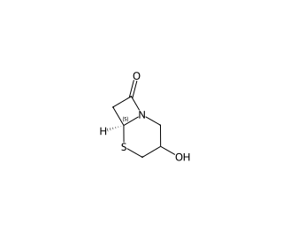 O=C1C[C@@H]2SCC(O)CN12